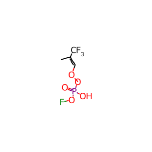 CC(=COOP(=O)(O)OF)C(F)(F)F